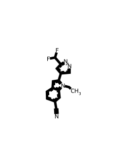 CCn1c(-c2cnnc(C(F)F)c2)cc2ccc(C#N)cc21